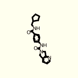 O=C(NCC1CCCC1)c1ccc(NC(=O)N2Cc3cccnc3C2)cc1